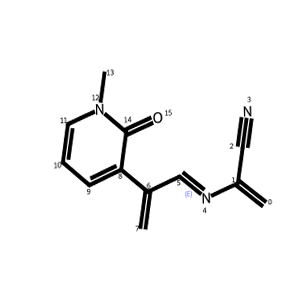 C=C(C#N)/N=C/C(=C)c1cccn(C)c1=O